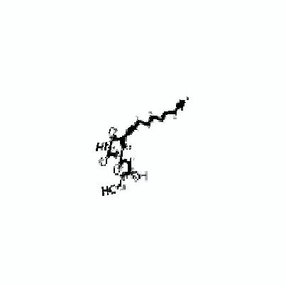 C#CCCCCCCC#Cc1cn([C@H]2C[C@@H](O)[C@@H](CO)O2)c(=O)[nH]c1=O